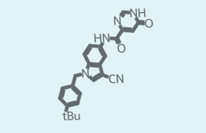 CC(C)(C)c1ccc(Cn2cc(C#N)c3cc(NC(=O)c4cc(=O)[nH]cn4)ccc32)cc1